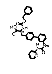 CN(C(=O)Nc1ccccn1)c1cccc(-c2ccc(C[C@H](NC(=O)OCc3ccccc3)C(=O)O)cc2)c1